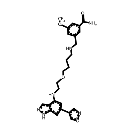 NC(=O)c1cc(CNCCCCOCCNc2cc(-c3cnoc3)cc3[nH]ncc23)cc(OC(F)(F)F)c1